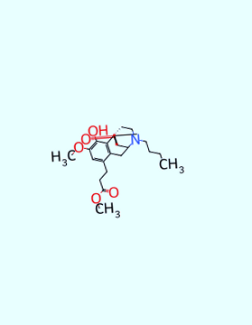 CCCCN1CC[C@@]23CC(=O)CCC2C1Cc1c(CCC(=O)OC)cc(OC)c(O)c13